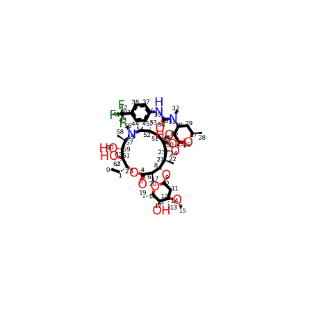 CC[C@H]1OC(=O)[C@H](C)[C@@H](O[C@H]2C[C@@](C)(OC)[C@@H](O)[C@H](C)O2)[C@H](C)[C@@H](O[C@@H]2O[C@H](C)C[C@H](N(C)C(=O)Nc3ccc(C(F)(F)F)cc3)[C@H]2O)[C@](C)(O)C[C@@H](C)CN(C)[C@H](C)[C@@H](O)[C@]1(C)O